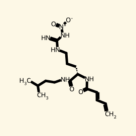 C=C/C=C/C(=O)N[C@@H](CCCNC(=N)N[N+](=O)[O-])C(=O)NCCC(C)C